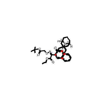 CCOC(=O)/C(=N\OCC(=O)OC(C)(C)C)c1nc2ccccc2n([C@H]2C[C@H]3CCC[C@@H](C2)N3C2CC3CCCC(C3)C2)c1=O